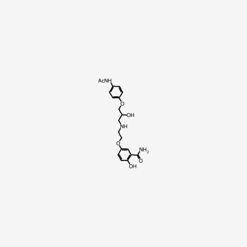 CC(=O)Nc1ccc(OCC(O)CNCCOc2ccc(O)c(C(N)=O)c2)cc1